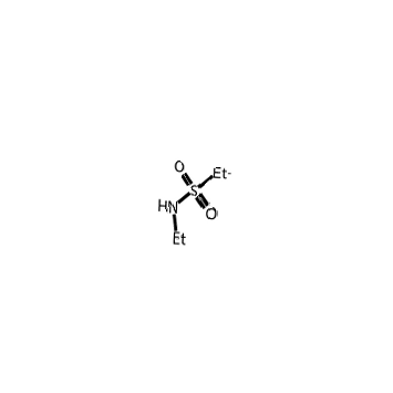 C[CH]S(=O)(=O)NCC